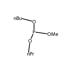 CCCCOP(OC)OCCC